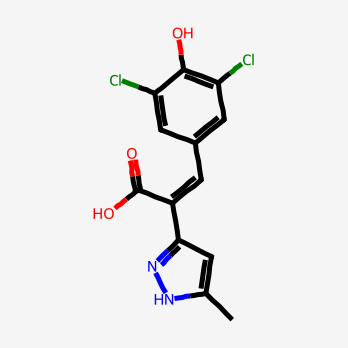 Cc1cc(C(=Cc2cc(Cl)c(O)c(Cl)c2)C(=O)O)n[nH]1